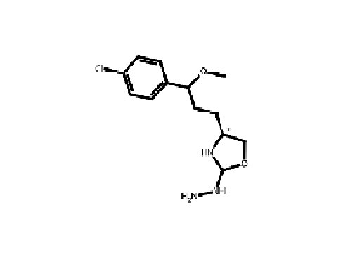 COC(CC[C@H]1COC(NN)N1)c1ccc(Cl)cc1